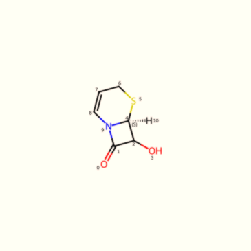 O=C1C(O)[C@@H]2SCC=CN12